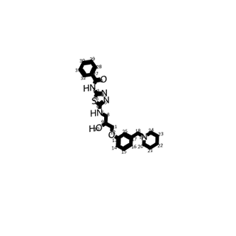 O=C(Nc1nnc(NCC(O)COc2cccc(CN3CCCCC3)c2)s1)c1ccccc1